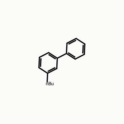 [CH2]CCCc1cccc(-c2ccccc2)c1